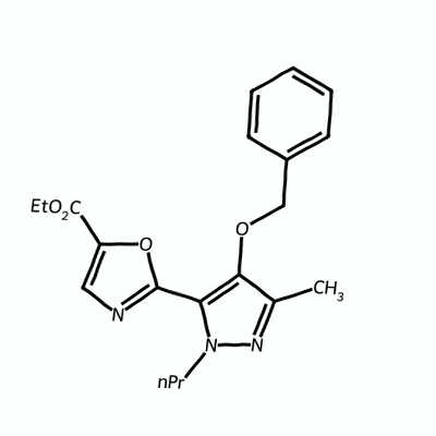 CCCn1nc(C)c(OCc2ccccc2)c1-c1ncc(C(=O)OCC)o1